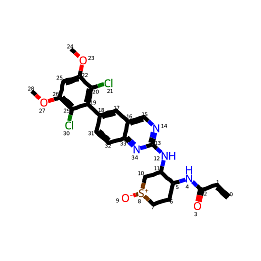 C=CC(=O)NC1CC[S+]([O-])CC1Nc1ncc2cc(-c3c(Cl)c(OC)cc(OC)c3Cl)ccc2n1